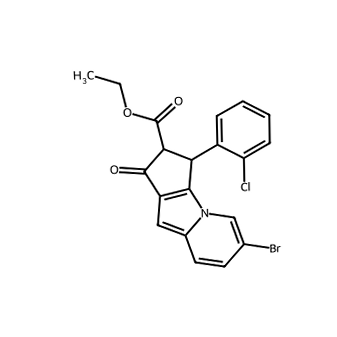 CCOC(=O)C1C(=O)c2cc3ccc(Br)cn3c2C1c1ccccc1Cl